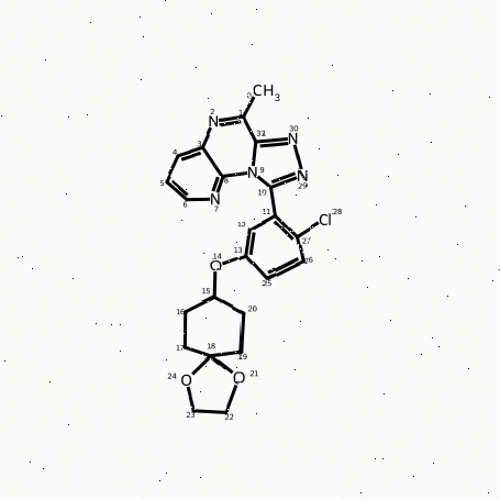 Cc1nc2cccnc2n2c(-c3cc(OC4CCC5(CC4)OCCO5)ccc3Cl)nnc12